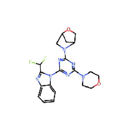 FC(F)c1nc2ccccc2n1-c1nc(N2CCOCC2)nc(N2CC3CC2CO3)n1